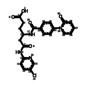 O=C(O)CCC(CC(=O)Nc1ccc(Cl)cn1)NC(=O)c1ccc(-n2ccccc2=O)cc1